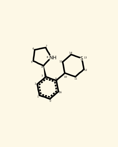 c1ccc([C@H]2CCCN2)c(C2CCSCC2)c1